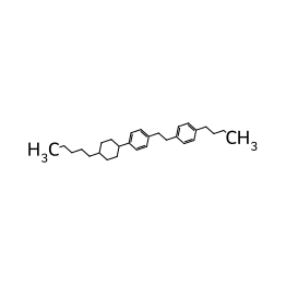 CCCCCC1CCC(c2ccc(CCc3ccc(CCCC)cc3)cc2)CC1